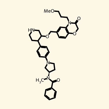 COCCCN1C(=O)COc2ccc(COC3CNCCC3c3ccc(N4CC[C@@H](N(C)C(=O)c5ccccc5)C4)cc3)cc21